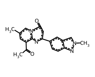 CC(=O)c1cc(C)cn2c(=O)cc(-c3ccc4nn(C)cc4c3)nc12